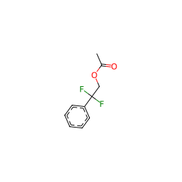 CC(=O)OCC(F)(F)c1ccccc1